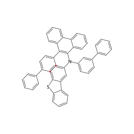 c1ccc(-c2ccc(-c3c(N(c4cccc(-c5ccccc5)c4)c4ccc5sc6ccccc6c5c4)c4ccccc4c4ccccc34)cc2)cc1